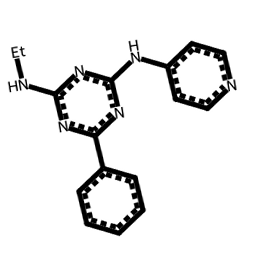 CCNc1nc(Nc2ccncc2)nc(-c2ccccc2)n1